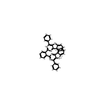 c1ccc(-c2nc(-c3ccccc3-c3nc(-c4ccccc4)c4sc5ccccc5c4n3)nc3c2sc2ccccc23)cc1